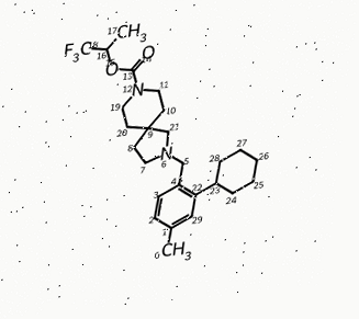 Cc1ccc(CN2CCC3(CCN(C(=O)OC(C)C(F)(F)F)CC3)C2)c(C2CCCCC2)c1